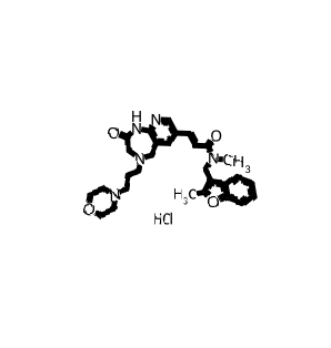 Cc1oc2ccccc2c1CN(C)C(=O)C=Cc1cnc2c(c1)CN(CCCN1CCOCC1)CC(=O)N2.Cl